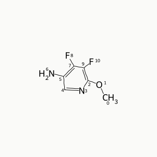 COc1ncc(N)c(F)c1F